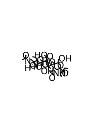 CCC(CC)(OC)C1OC(CO)C(O)C(OC2OC(C(=O)O)C(OC(CC)(CC)[C@H](O)CNC(C)=O)C(O)C2O)C1NC(C)=O